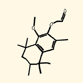 COc1c(OC=O)c(C)cc2c1C(C)(C)CC(C)C2(C)C